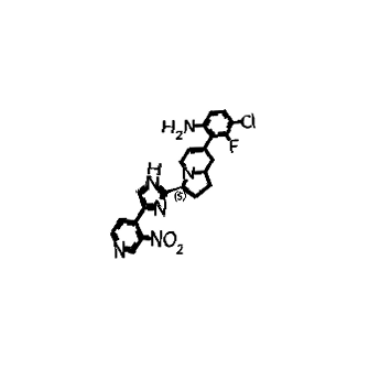 Nc1ccc(Cl)c(F)c1C1=CCN2C(CC[C@H]2c2nc(-c3ccncc3[N+](=O)[O-])c[nH]2)C1